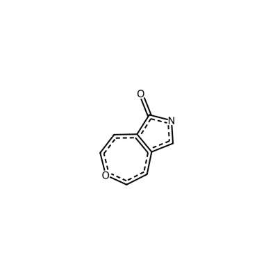 O=c1ncc2ccoccc1=2